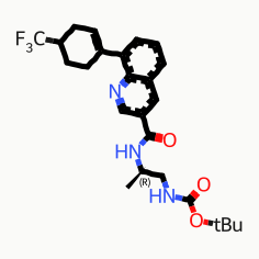 C[C@H](CNC(=O)OC(C)(C)C)NC(=O)c1cnc2c(C3=CCC(C(F)(F)F)CC3)cccc2c1